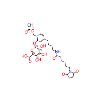 CC(=O)OCc1ccc(CCCCNC(=O)CCCCCN2C(=O)C=CC2=O)cc1O[C@@H]1O[C@H](C(=O)O)[C@@H](O)[C@H](O)[C@H]1O